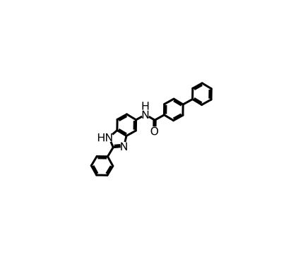 O=C(Nc1ccc2[nH]c(-c3ccccc3)nc2c1)c1ccc(-c2ccccc2)cc1